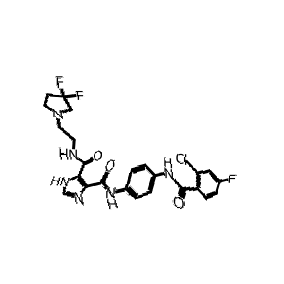 O=C(Nc1ccc(NC(=O)c2nc[nH]c2C(=O)NCCN2CCC(F)(F)C2)cc1)c1ccc(F)cc1Cl